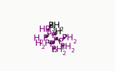 [3H]P(P(P)PB)P(P(P)P)P(P)P